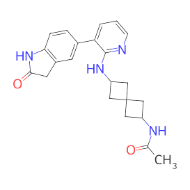 CC(=O)NC1CC2(C1)CC(Nc1ncccc1-c1ccc3c(c1)CC(=O)N3)C2